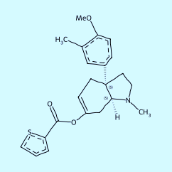 COc1ccc([C@@]23CC=C(OC(=O)c4cccs4)C[C@@H]2N(C)CC3)cc1C